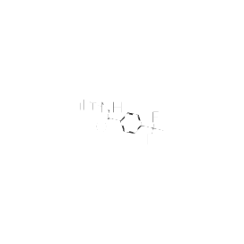 CC(C)NC(=O)c1ccc(C(C)(F)F)cc1